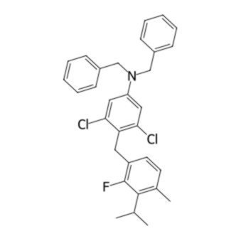 Cc1ccc(Cc2c(Cl)cc(N(Cc3ccccc3)Cc3ccccc3)cc2Cl)c(F)c1C(C)C